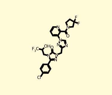 O=C(c1ncccc1-n1cnc(Cn2nc(-c3ccc(Cl)cc3)n(CC(O)C(F)(F)F)c2=O)n1)N1CCC(F)(F)C1